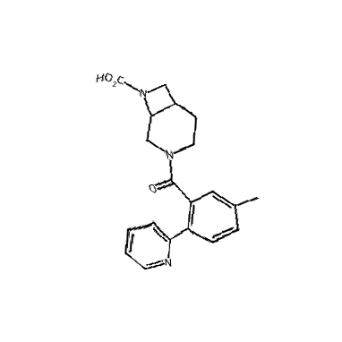 Cc1ccc(-c2ccccn2)c(C(=O)N2CCC3CN(C(=O)O)C3C2)c1